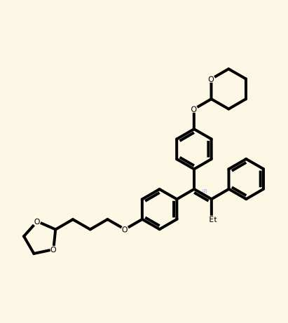 CC/C(=C(\c1ccc(OCCCC2OCCO2)cc1)c1ccc(OC2CCCCO2)cc1)c1ccccc1